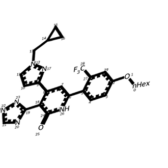 CCCCCCOc1ccc(-c2cc(-c3ccn(CC4CC4)n3)c(-c3nc[nH]n3)c(=O)[nH]2)c(C(F)(F)F)c1